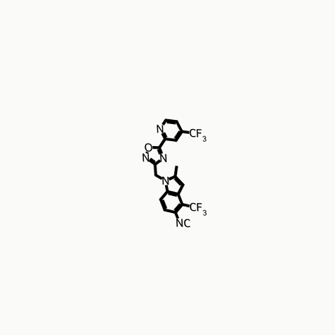 [C-]#[N+]c1ccc2c(cc(C)n2Cc2noc(-c3cc(C(F)(F)F)ccn3)n2)c1C(F)(F)F